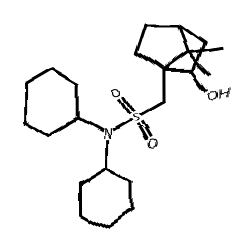 CC1(C)C2CCC1(CS(=O)(=O)N(C1CCCCC1)C1CCCCC1)C(O)C2